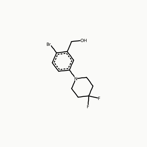 OCc1cc(N2CCC(F)(F)CC2)ccc1Br